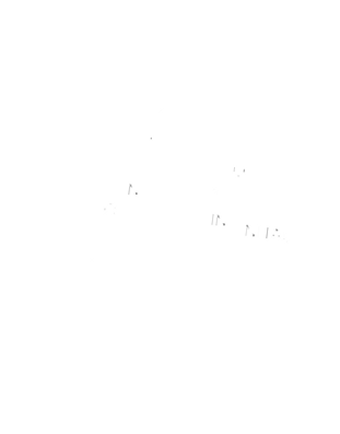 CC(=O)NNC(=O)C1CN(OCc2ccccc2)[C@H](C)C2(CC2)C1